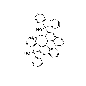 OC(c1ccccc1)(c1ccccc1)c1cc2ccccc2c2c1CNCC1C2=c2ccccc2=CC1C(O)(c1ccccc1)c1ccccc1